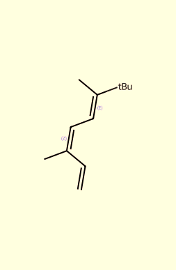 C=C/C(C)=C\C=C(/C)C(C)(C)C